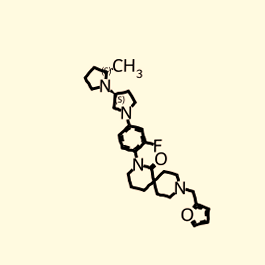 C[C@H]1CCCN1[C@H]1CCN(c2ccc(N3CCCC4(CCN(Cc5ccco5)CC4)C3=O)c(F)c2)C1